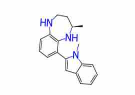 C[C@@H]1CCNc2cccc(-c3cc4ccccc4n3C)c2N1